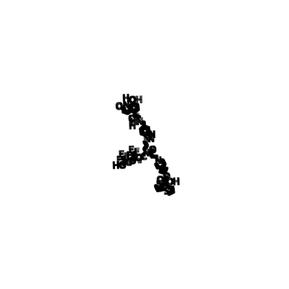 CN(CCCn1nnc2cc(CNC[C@H](O)c3ccc(O)c4[nH]c(=O)ccc34)ccc21)C(=O)CCN1CCC2(CC1)CC(OC(=O)C(O)(c1cccs1)c1cccs1)C2.O=C(O)C(F)(F)F.O=C(O)C(F)(F)F